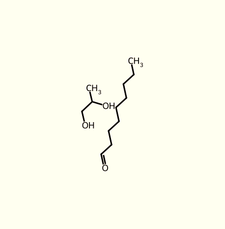 CC(O)CO.CCCCCCCCC=O